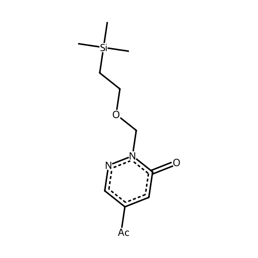 CC(=O)c1cnn(COCC[Si](C)(C)C)c(=O)c1